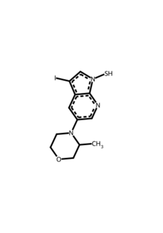 CC1COCCN1c1cnc2c(c1)c(I)cn2S